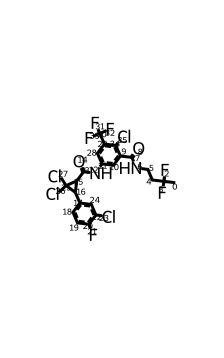 CC(F)(F)CCNC(=O)c1cc(NC(=O)C2C(c3ccc(F)c(Cl)c3)C2(Cl)Cl)cc(C(F)(F)F)c1Cl